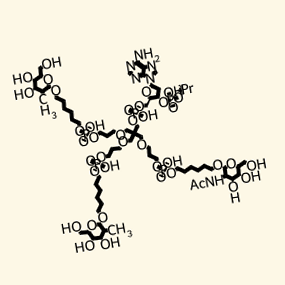 CC(=O)NC1[C@H](OCCCCCCOP(=O)(O)OCCCOCC(COCCCOP(=O)(O)OCCCCCCO[C@@H]2OC(CO)[C@H](O)[C@H](O)C2C)(COCCCOP(=O)(O)OCCCCCCO[C@@H]2OC(CO)[C@H](O)[C@H](O)C2C)COP(=O)(O)OC[C@H]2O[C@@H](n3cnc4c(N)ncnc43)C[C@@H]2OP(=O)(O)OC(C)C)OC(CO)[C@H](O)[C@@H]1O